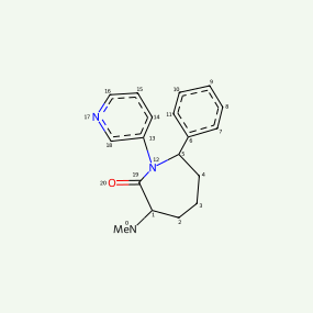 CNC1CCCC(c2ccccc2)N(c2cccnc2)C1=O